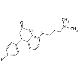 CN(C)CCCSc1cccc2c1NC(=O)CC2c1ccc(F)cc1